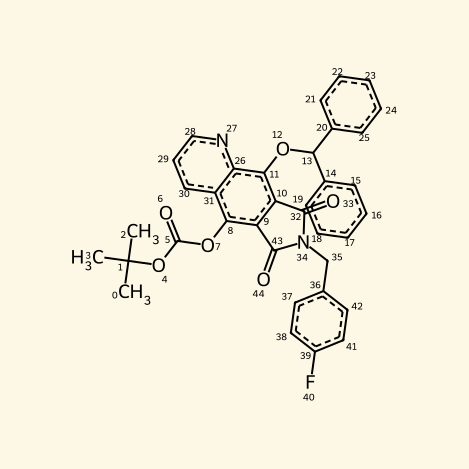 CC(C)(C)OC(=O)Oc1c2c(c(OC(c3ccccc3)c3ccccc3)c3ncccc13)C(=O)N(Cc1ccc(F)cc1)C2=O